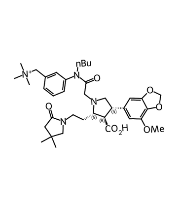 CCCCN(C(=O)CN1C[C@H](c2cc(OC)c3c(c2)OCO3)[C@@H](C(=O)O)[C@@H]1CCN1CC(C)(C)CC1=O)c1cccc(C[N+](C)(C)C)c1